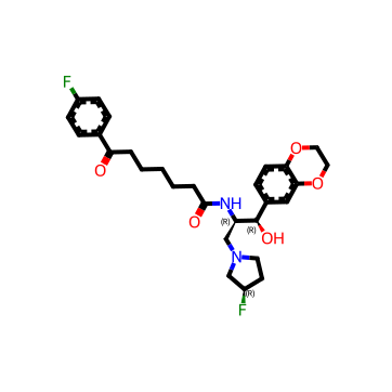 O=C(CCCCCC(=O)c1ccc(F)cc1)N[C@H](CN1CC[C@@H](F)C1)[C@H](O)c1ccc2c(c1)OCCO2